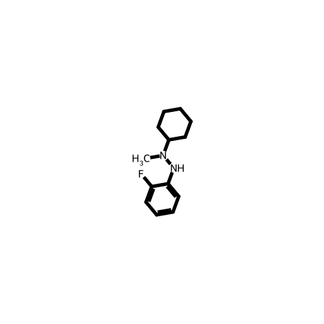 CN(Nc1ccccc1F)C1CCCCC1